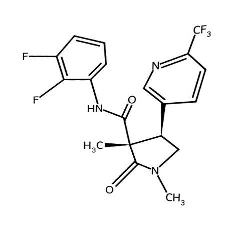 CN1C[C@H](c2ccc(C(F)(F)F)nc2)[C@@](C)(C(=O)Nc2cccc(F)c2F)C1=O